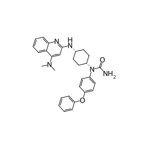 CN(C)c1cc(N[C@H]2CC[C@@H](N(C(N)=O)c3ccc(Oc4ccccc4)cc3)CC2)nc2ccccc12